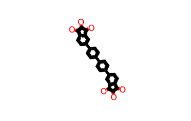 O=c1c(=O)c2ccc(-c3ccc(-c4ccc(-c5ccc6c(=O)c(=O)c(=O)c6c5)cc4)cc3)cc2c1=O